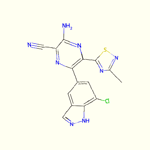 Cc1nsc(-c2nc(N)c(C#N)nc2-c2cc(Cl)c3[nH]ncc3c2)n1